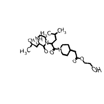 CC(C)CC1NCCN(C(CC(C)C)C(=O)N2CCC(CC(=O)OCCO)CC2)C1=O